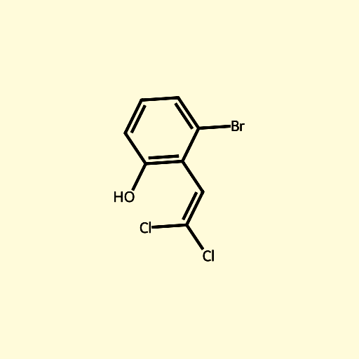 Oc1cccc(Br)c1C=C(Cl)Cl